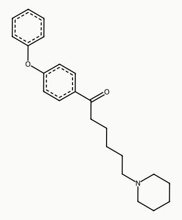 O=C(CCCCCN1CCCCC1)c1ccc(Oc2ccccc2)cc1